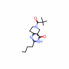 CCCCc1nc2c(c(=O)[nH]1)CN(C(=O)C(C)(C)C)CC2